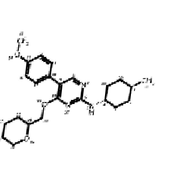 C[C@H]1CC[C@H](Nc2ncc(-c3ccc(OC(F)(F)F)cc3)c(OCC3CCCCO3)n2)CC1